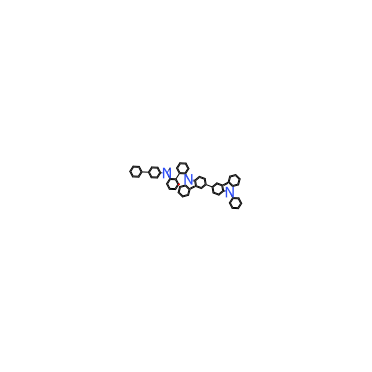 CN(c1ccc(-c2ccccc2)cc1)c1ccccc1-c1ccccc1-n1c2ccccc2c2cc(-c3ccc4c(c3)c3ccccc3n4-c3ccccc3)ccc21